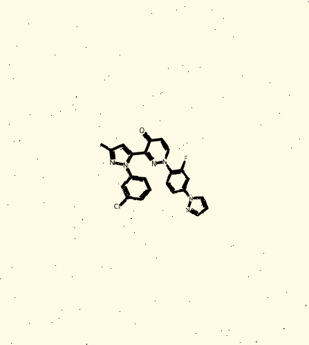 Cc1cc(-c2nn(-c3ccc(-n4cccn4)cc3F)ccc2=O)n(-c2cccc(Cl)c2)n1